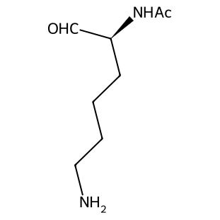 CC(=O)N[C@H](C=O)CCCCN